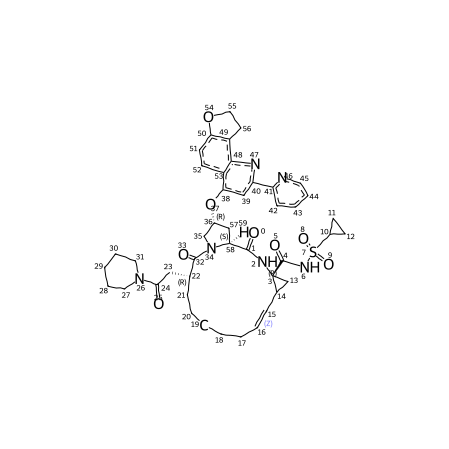 O=C1N[C@]2(C(=O)NS(=O)(=O)C3CC3)CC2/C=C\CCCCC[C@H](CC(=O)N2CCCCC2)C(=O)N2C[C@H](Oc3cc(-c4ccccn4)nc4c5c(ccc34)OCC5)C[C@@H]12